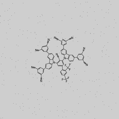 N#Cc1cc(C#N)cc(-c2ccc3c(c2)c2cc(-c4cc(C#N)cc(C#N)c4)ccc2n3-c2cc(-c3ccc(C(F)(F)F)cc3C(F)(F)F)cc(-n3c4ccc(-c5cc(C#N)cc(C#N)c5)cc4c4cc(-c5cc(C#N)cc(C#N)c5)ccc43)c2C#N)c1